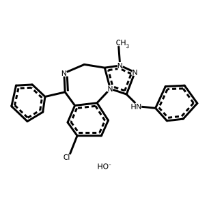 Cn1nc(Nc2ccccc2)[n+]2c1CN=C(c1ccccc1)c1cc(Cl)ccc1-2.[OH-]